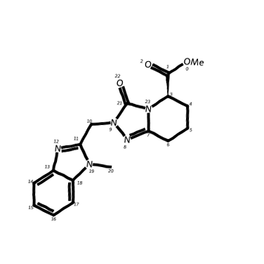 COC(=O)[C@H]1CCCc2nn(Cc3nc4ccccc4n3C)c(=O)n21